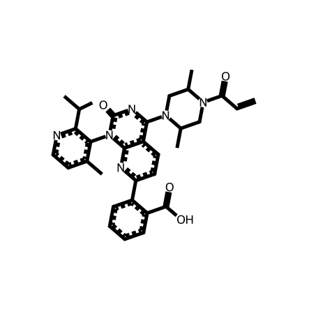 C=CC(=O)N1CC(C)N(c2nc(=O)n(-c3c(C)ccnc3C(C)C)c3nc(-c4ccccc4C(=O)O)ccc23)CC1C